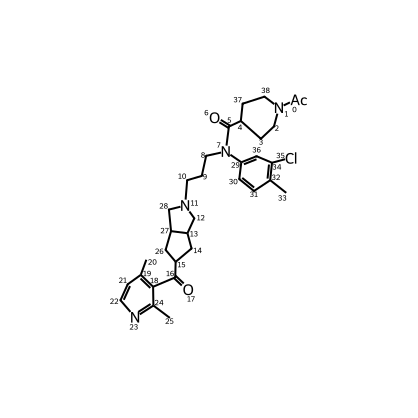 CC(=O)N1CCC(C(=O)N(CCCN2CC3CC(C(=O)c4c(C)ccnc4C)CC3C2)c2ccc(C)c(Cl)c2)CC1